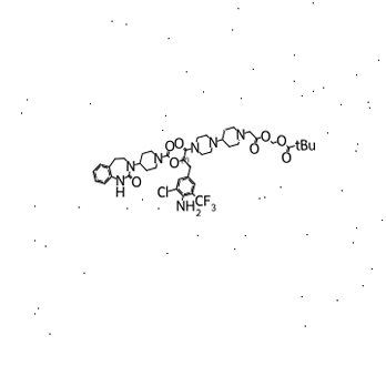 CC(C)(C)C(=O)OCOC(=O)CN1CCC(N2CCN(C(=O)[C@@H](Cc3cc(Cl)c(N)c(C(F)(F)F)c3)OC(=O)N3CCC(N4CCc5ccccc5NC4=O)CC3)CC2)CC1